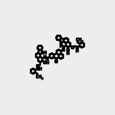 CCc1ccccc1NCOc1cc2ccc3c4ccccc4[nH]c3c2c(N=Nc2ccc3c4c(cccc24)C(=O)c2cc(N=Nc4c(O)c(CONc5ccccc5CC)cc5ccc6c7ccccc7[nH]c6c45)ccc2-3)c1O